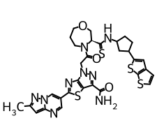 Cc1cc2ncc(-c3nc4c(s3)c(C(N)=O)nn4CC(=O)N3CCCOC[C@H]3C(=S)NC3CCC(c4cc5ccsc5s4)C3)cn2n1